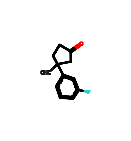 O=CC1(c2cccc(F)c2)CCC(=O)C1